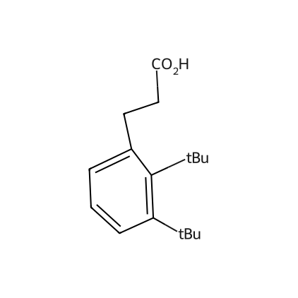 CC(C)(C)c1cccc(CCC(=O)O)c1C(C)(C)C